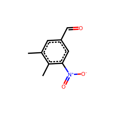 Cc1cc(C=O)cc([N+](=O)[O-])c1C